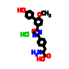 COc1ccc(-c2nc(-c3ccc(C[C@H](N)C(=O)O)cc3)no2)cc1-c1ccc(O)cc1.Cl